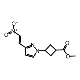 COC(=O)C1CC(n2ccc(/C=C/[N+](=O)[O-])n2)C1